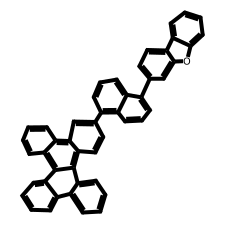 c1ccc2c(c1)oc1cc(-c3cccc4c(-c5ccc6c(c5)c5ccccc5c5c7ccccc7c7ccccc7c65)cccc34)ccc12